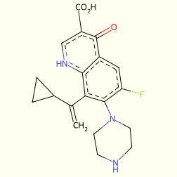 C=C(c1c(N2CCNCC2)c(F)cc2c(=O)c(C(=O)O)c[nH]c12)C1CC1